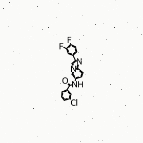 O=C(Nc1ccc2nc(-c3ccc(F)c(F)c3)cn2c1)c1cccc(Cl)c1